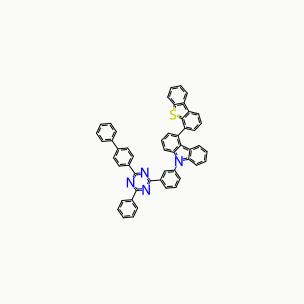 c1ccc(-c2ccc(-c3nc(-c4ccccc4)nc(-c4cccc(-n5c6ccccc6c6c(-c7cccc8c7sc7ccccc78)cccc65)c4)n3)cc2)cc1